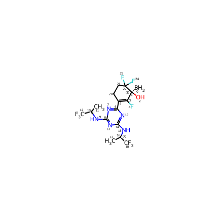 B[C@]1(O)C(F)=C(c2nc(N[C@H](C)C(F)(F)F)nc(N[C@H](C)C(F)(F)F)n2)CCC1(F)F